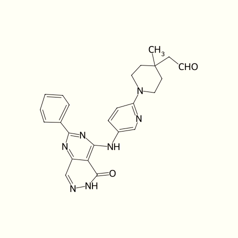 CC1(CC=O)CCN(c2ccc(Nc3nc(-c4ccccc4)nc4cn[nH]c(=O)c34)cn2)CC1